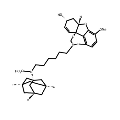 COc1ccc2c3c1O[C@H]1C[C@@H](O)C=C[C@@]31CCN(CCCCCCN(C(=O)O)[C@]13C[C@@H]4C[C@@](C)(C[C@@](C)(C4)C1)C3)C2